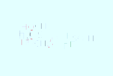 CC(C)(O)C1C2CC(C(=O)OCCC(F)C(F)(F)S(=O)(=O)O)C(S2)C1C(C)(C)O